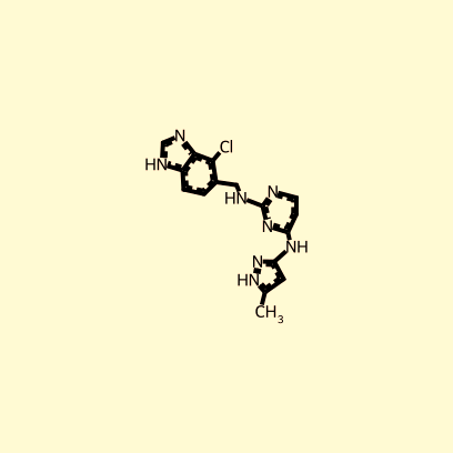 Cc1cc(Nc2ccnc(NCc3ccc4[nH]cnc4c3Cl)n2)n[nH]1